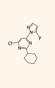 Fc1ccnn1-c1cc(Cl)nc(C2CCCCC2)n1